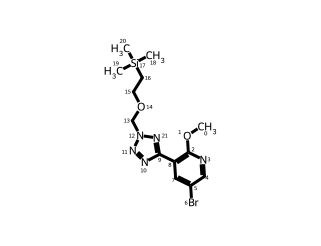 COc1ncc(Br)cc1-c1nnn(COCC[Si](C)(C)C)n1